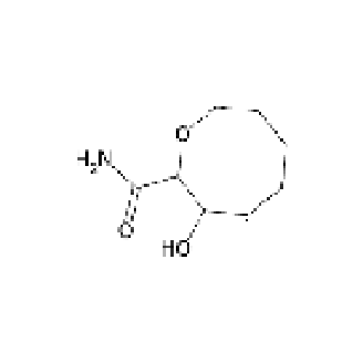 NC(=O)C1OCCCC[CH]C1O